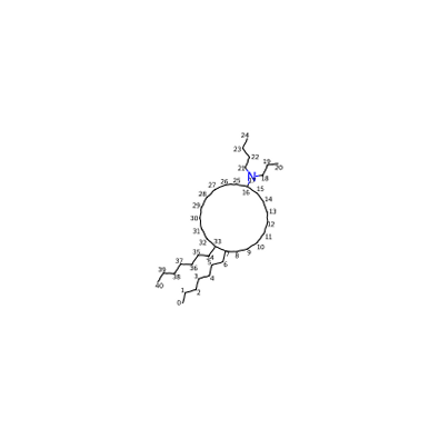 CCCCCCCC1CCCCCCCCC(N(CCC)CCCC)CCCCCCCCC1CCCCCCC